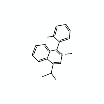 Cc1ccccc1-c1c2ccccc2c(C(C)C)c[n+]1C